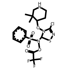 CC1(C)CNCCC1ON1C(Cl)=NSC1N(OC(=O)C(F)(F)F)S(=O)(=O)c1ccccc1